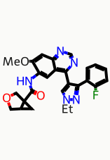 CCn1cc(-c2ncnc3cc(OC)c(NC(=O)C45COCC4C5)cc23)c(-c2ccccc2F)n1